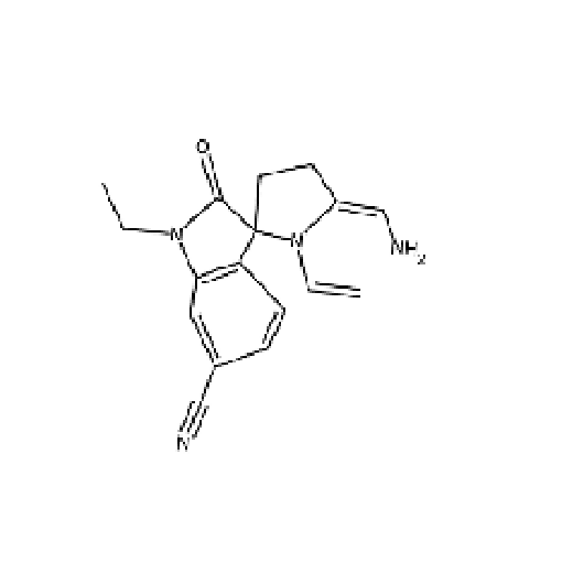 C=CN1/C(=C\N)CCC12C(=O)N(CC)c1cc(C#N)ccc12